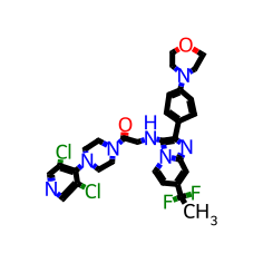 CC(F)(F)c1ccn2c(NCC(=O)N3CCN(c4c(Cl)cncc4Cl)CC3)c(-c3ccc(N4CCOCC4)cc3)nc2c1